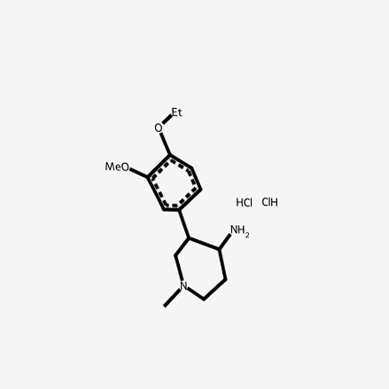 CCOc1ccc(C2CN(C)CCC2N)cc1OC.Cl.Cl